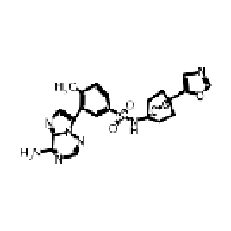 Cc1ccc(S(=O)(=O)NC23CCC(c4cnco4)(CC2)OC3)cc1-c1cnc2c(N)ncnn12